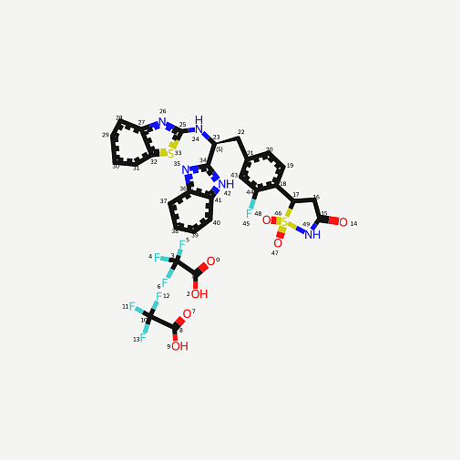 O=C(O)C(F)(F)F.O=C(O)C(F)(F)F.O=C1CC(c2ccc(C[C@H](Nc3nc4ccccc4s3)c3nc4ccccc4[nH]3)cc2F)S(=O)(=O)N1